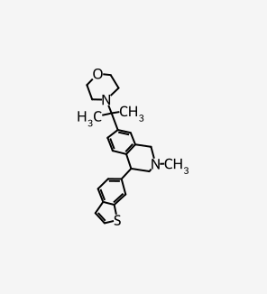 CN1Cc2cc(C(C)(C)N3CCOCC3)ccc2C(c2ccc3ccsc3c2)C1